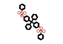 O=S(=O)(Oc1ccc(C(c2ccccc2)(c2ccccc2)c2ccc(OS(=O)(=O)c3ccccc3)cc2)cc1)c1ccccc1